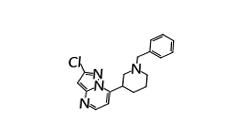 Clc1cc2nccc(C3CCCN(Cc4ccccc4)C3)n2n1